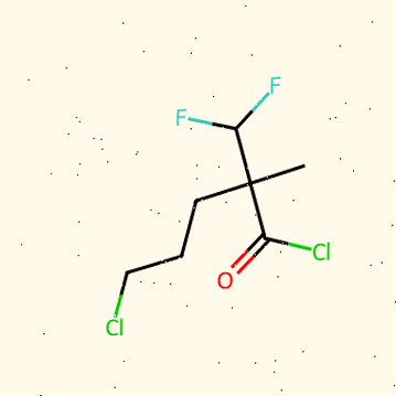 CC(CCCCl)(C(=O)Cl)C(F)F